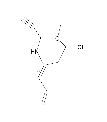 C#CCN/C(=C/C=C)CC(O)OC